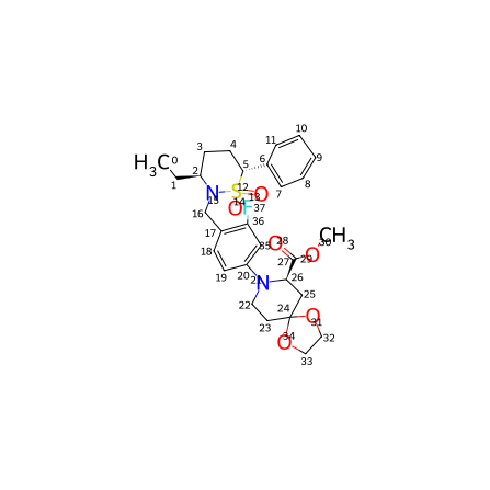 CC[C@H]1CC[C@H](c2ccccc2)S(=O)(=O)N1Cc1ccc(N2CCC3(C[C@@H]2C(=O)OC)OCCO3)cc1F